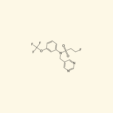 O=S(=O)(CCF)N(Cc1cncnc1)c1cccc(OC(F)(F)F)c1